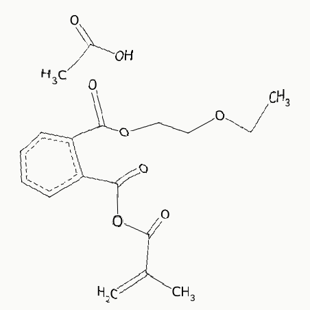 C=C(C)C(=O)OC(=O)c1ccccc1C(=O)OCCOCC.CC(=O)O